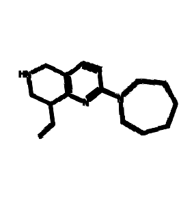 CCC1CNCc2ccc(N3CCCCCC3)nc21